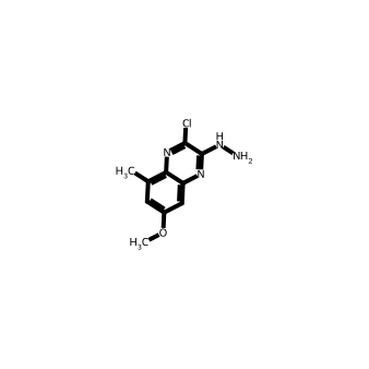 COc1cc(C)c2nc(Cl)c(NN)nc2c1